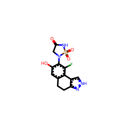 O=C1CN(c2c(O)cc3c(c2F)-c2c[nH]nc2CC3)S(=O)(=O)N1